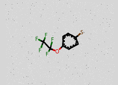 FC(F)(F)C(F)(F)Oc1ccc([S])cc1